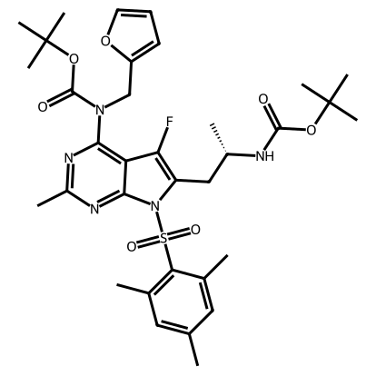 Cc1cc(C)c(S(=O)(=O)n2c(C[C@H](C)NC(=O)OC(C)(C)C)c(F)c3c(N(Cc4ccco4)C(=O)OC(C)(C)C)nc(C)nc32)c(C)c1